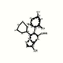 COc1nc2c(C#N)cnn2c(C2CCCCC2)c1-c1c(F)cc(F)cc1F